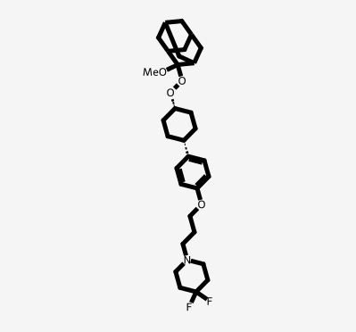 COC1(OO[C@H]2CC[C@@H](c3ccc(OCCCN4CCC(F)(F)CC4)cc3)CC2)C2CC3CC(C2)CC1C3